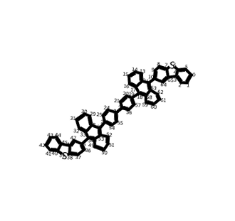 c1ccc2c(c1)sc1ccc(-c3c4ccccc4c(-c4ccc(-c5ccc(-c6c7ccccc7c(-c7ccc8sc9ccccc9c8c7)c7ccccc67)cc5)cc4)c4ccccc34)cc12